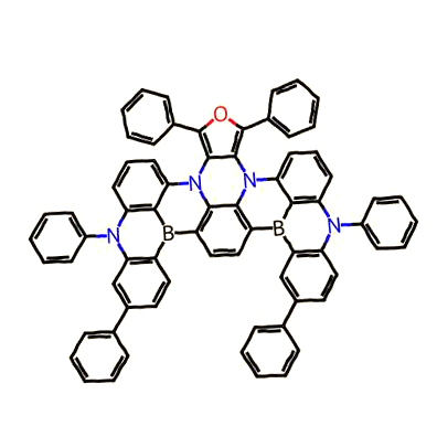 c1ccc(-c2ccc3c(c2)B2c4ccc5c6c4N(c4cccc(c42)N3c2ccccc2)c2c(-c3ccccc3)oc(-c3ccccc3)c2N6c2cccc3c2B5c2ccc(-c4ccccc4)cc2N3c2ccccc2)cc1